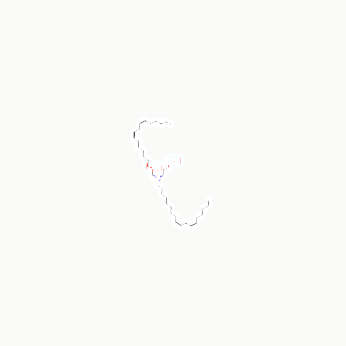 CCCCC/C=C\C/C=C\CCCCCCCCN(CCCCCCCC/C=C\C/C=C\CCCCC)CC(O)CO